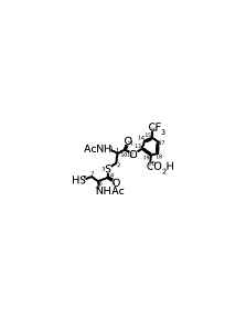 CC(=O)NC(CSC(=O)C(CS)NC(C)=O)C(=O)Oc1cc(C(F)(F)F)ccc1C(=O)O